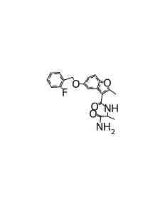 Cc1oc2ccc(OCc3ccccc3F)cc2c1C(=O)NC(C)C(N)=O